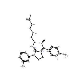 C=N/C(=C1/CCN(c2cccc(S)c2)/C1=N/CCOCCNC)c1cnc(N)nc1